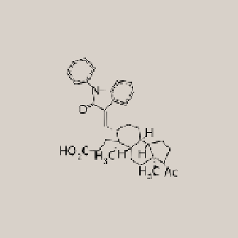 CC(=O)[C@H]1CC[C@H]2[C@@H]3CC[C@@H](/C=C4/C(=O)N(c5ccccc5)c5ccccc54)[C@](C)(CCC(=O)O)[C@H]3CC[C@]12C